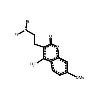 CCN(CC)CCc1c(C)c2ccc(OC)cc2oc1=O